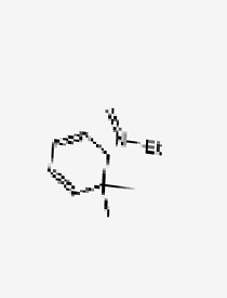 C=NCC.CC1(C)C=CC=CC1